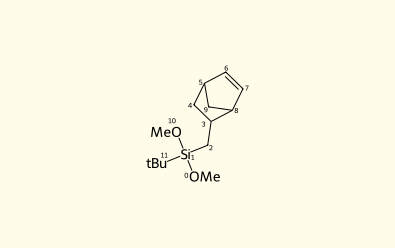 CO[Si](CC1CC2C=CC1C2)(OC)C(C)(C)C